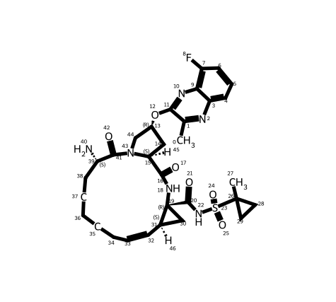 Cc1nc2cccc(F)c2nc1O[C@@H]1C[C@H]2C(=O)N[C@]3(C(=O)NS(=O)(=O)C4(C)CC4)C[C@H]3C=CCCCCC[C@H](N)C(=O)N2C1